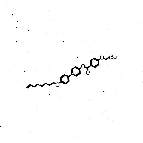 C=CCCCCCCOc1ccc(-c2ccc(OC(=O)c3ccc(OCC(C)CC)cc3)cc2)cc1